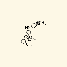 CC(C)CN(c1ccccc1C(F)(F)F)S(=O)(=O)c1ccc(NC2CCN(S(C)(=O)=O)CC2)cc1